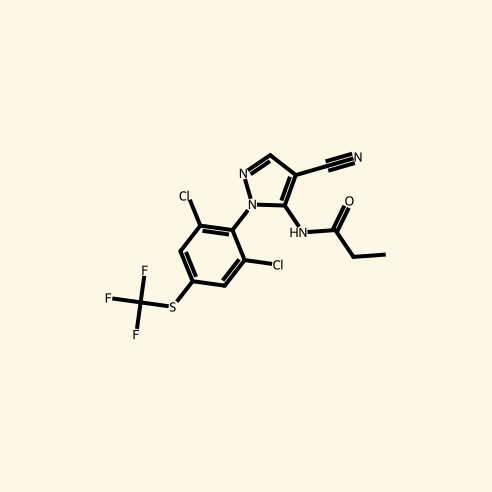 CCC(=O)Nc1c(C#N)cnn1-c1c(Cl)cc(SC(F)(F)F)cc1Cl